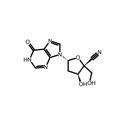 N#C[C@]1(CO)O[C@@H](n2cnc3c(=O)[nH]cnc32)C[C@@H]1O